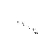 CCC=CCCBCCCC